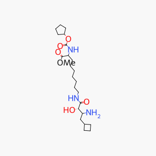 COC(=O)C(CCCCCCCNC(=O)[C@@H](O)C(N)CC1CCC1)NC(=O)OC1CCCC1